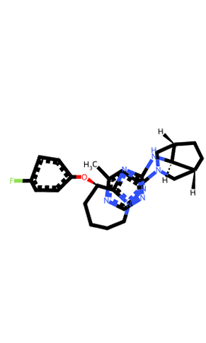 Cc1cc(N2C[C@H]3CC[C@@H](C2)[C@@H]3Nc2nc3n(n2)CCCC[C@H]3Oc2ccc(F)cc2)ncn1